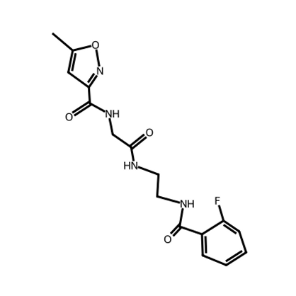 Cc1cc(C(=O)NCC(=O)NCCNC(=O)c2ccccc2F)no1